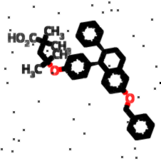 CC(C)(CC(C)(C)C(=O)O)Oc1ccc([C@@H]2c3ccc(OCc4ccccc4)cc3CC[C@@H]2c2ccccc2)cc1